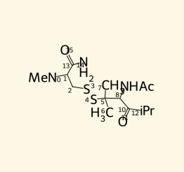 CNC(CSSC(C)(C)C(NC(C)=O)C(=O)C(C)C)C(N)=O